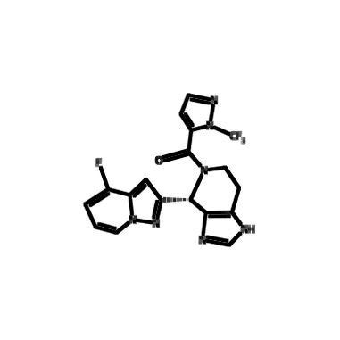 O=C(c1ccnn1C(F)(F)F)N1CCc2[nH]cnc2[C@@H]1c1cc2c(F)cccn2n1